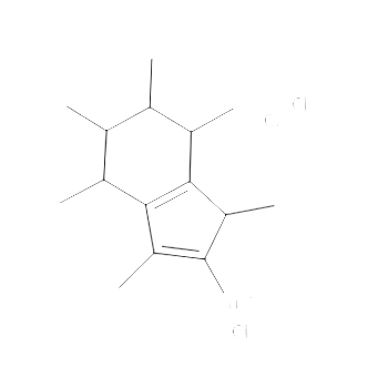 CC1=[C]([Ti+3])C(C)C2=C1C(C)C(C)C(C)C2C.[Cl-].[Cl-].[Cl-]